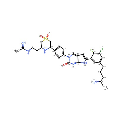 CC(=N)NCCC1CS(=O)(=O)CC(c2ccc(-n3cc4cc(-c5cc(CCCC(C)N)cc(Cl)c5F)[nH]c4nc3=O)cc2)N1